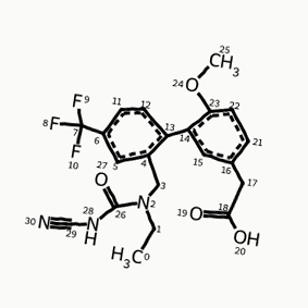 CCN(Cc1cc(C(F)(F)F)ccc1-c1cc(CC(=O)O)ccc1OC)C(=O)NC#N